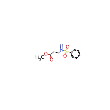 COC(=O)CCNS(=O)(=O)c1ccccc1